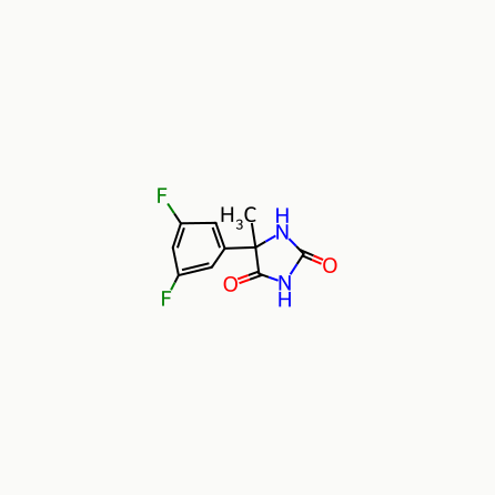 CC1(c2cc(F)cc(F)c2)NC(=O)NC1=O